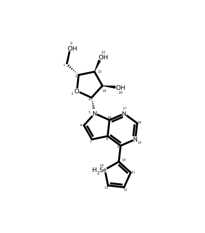 OC[C@H]1O[C@@H](n2ccc3c(C4=CC=C[SeH2]4)ncnc32)[C@H](O)[C@@H]1O